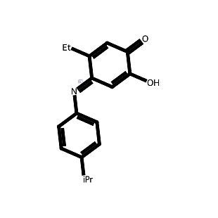 CCC1=CC(=O)C(O)=C/C1=N\c1ccc(C(C)C)cc1